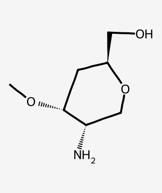 CO[C@@H]1C[C@@H](CO)OC[C@@H]1N